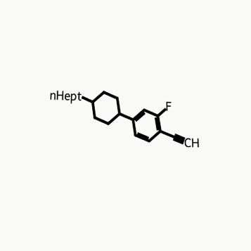 C#Cc1ccc(C2CCC(CCCCCCC)CC2)cc1F